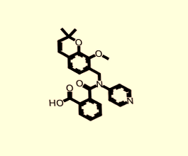 COc1c(CN(C(=O)c2ccccc2C(=O)O)c2ccncc2)ccc2c1OC(C)(C)C=C2